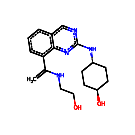 C=C(NCCO)c1cccc2cnc(N[C@H]3CC[C@H](O)CC3)nc12